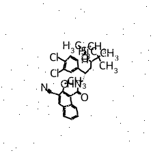 COc1c(C#N)cc2ccccc2c1C(=O)NC[C@@H](CC(O[SiH](C)C)C(C)(C)C)c1ccc(Cl)c(Cl)c1